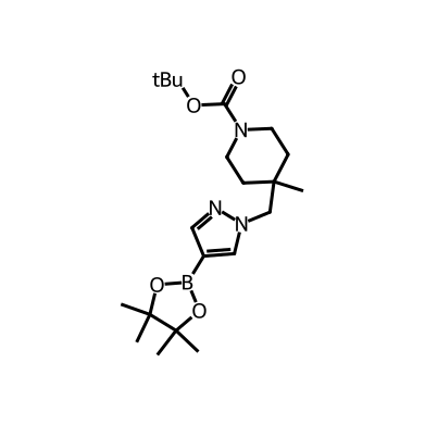 CC1(Cn2cc(B3OC(C)(C)C(C)(C)O3)cn2)CCN(C(=O)OC(C)(C)C)CC1